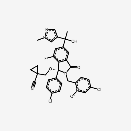 Cn1cc(C(C)(O)c2cc(F)c3c(c2)C(=O)N(Cc2ccc(Cl)c[n+]2[O-])[C@@]3(OCC2(C#N)CC2)c2ccc(Cl)cc2)cn1